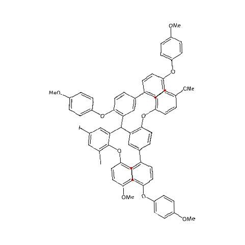 COc1ccc(Oc2ccc(-c3ccc(Oc4ccc(OC)cc4)c(C(c4cc(-c5ccc(Oc6ccc(OC)cc6)cc5)ccc4Oc4ccc(OC)cc4)c4cc(I)cc(I)c4Oc4ccc(OC)cc4)c3)cc2)cc1